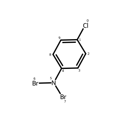 Clc1ccc(N(Br)Br)cc1